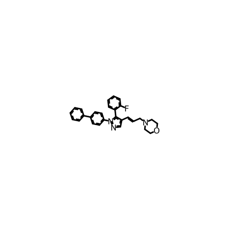 Fc1ccccc1-c1c(C=CCN2CCOCC2)cnn1-c1ccc(-c2ccccc2)cc1